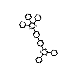 C1=CCCC(c2nc(C3=CCC(c4ccc(-c5nc(-c6ccccc6)nc(C6C=CC=CC6)n5)cc4)C=C3)nc(C3CC=CCC3)c2-c2ccccc2)=C1